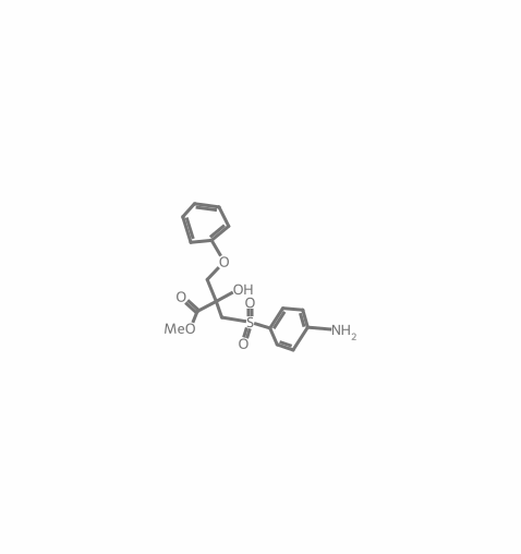 COC(=O)C(O)(COc1ccccc1)CS(=O)(=O)c1ccc(N)cc1